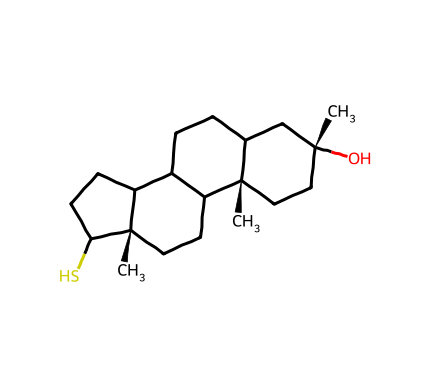 C[C@@]1(O)CC[C@@]2(C)C(CCC3C2CC[C@]2(C)C(S)CCC32)C1